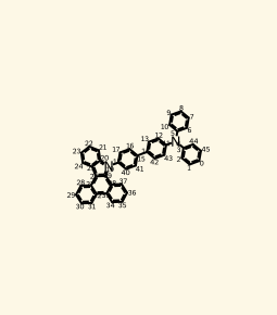 c1ccc(N(c2ccccc2)c2ccc(-c3ccc(-n4c5ccccc5c5c6ccccc6c6ccccc6c54)cc3)cc2)cc1